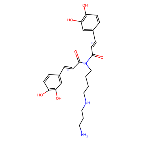 NCCCNCCCCN(C(=O)/C=C/c1ccc(O)c(O)c1)C(=O)/C=C/c1ccc(O)c(O)c1